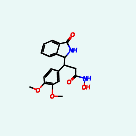 COc1ccc(C(CC(=O)NO)C2NC(=O)c3ccccc32)cc1OC